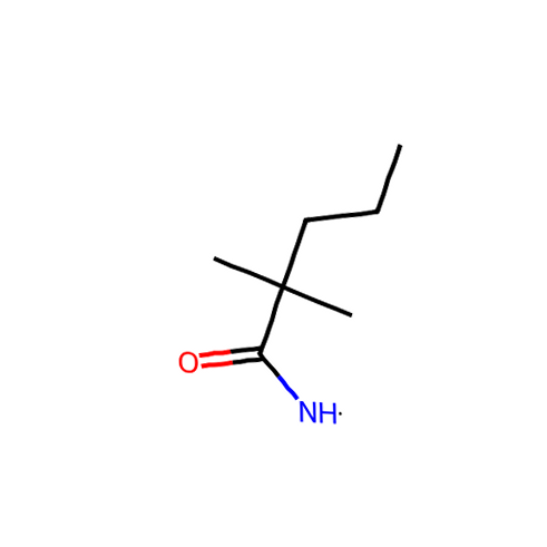 CCCC(C)(C)C([NH])=O